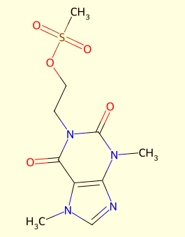 Cn1cnc2c1c(=O)n(CCOS(C)(=O)=O)c(=O)n2C